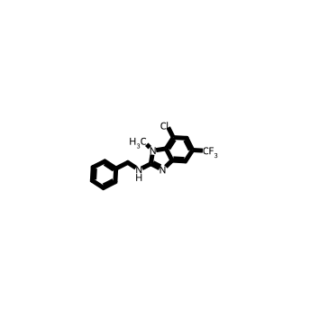 Cn1c(NCc2ccccc2)nc2cc(C(F)(F)F)cc(Cl)c21